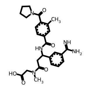 Cc1cc(C(=O)NC(CC(=O)N(C)CC(=O)O)c2cccc(C(=N)N)c2)ccc1C(=O)N1CCCC1